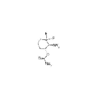 NC(=O)O[C@@H]1CCCC(F)(F)[C@H]1N